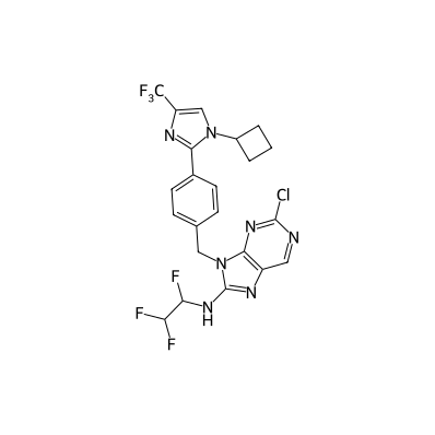 FC(F)C(F)Nc1nc2cnc(Cl)nc2n1Cc1ccc(-c2nc(C(F)(F)F)cn2C2CCC2)cc1